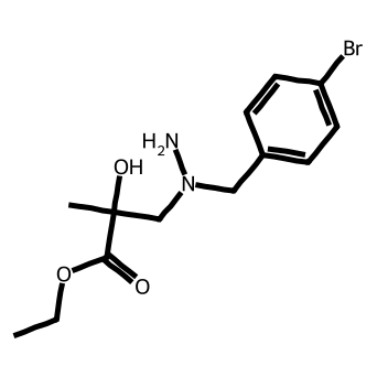 CCOC(=O)C(C)(O)CN(N)Cc1ccc(Br)cc1